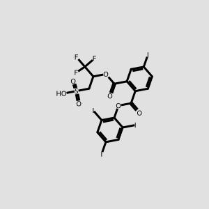 O=C(Oc1c(I)cc(I)cc1I)c1ccc(I)cc1C(=O)OC(CS(=O)(=O)O)C(F)(F)F